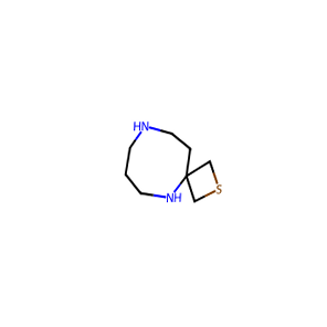 C1CNCCC2(CSC2)NC1